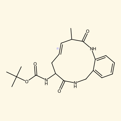 CC1/C=C/CC(NC(=O)OC(C)(C)C)C(=O)NCc2ccccc2NC1=O